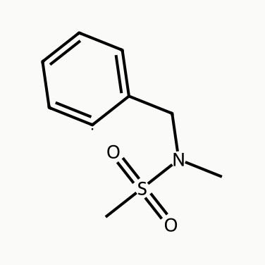 CN(Cc1[c]cccc1)S(C)(=O)=O